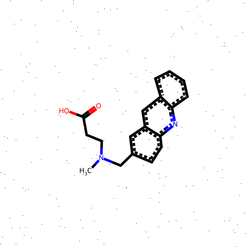 CN(CCC(=O)O)Cc1ccc2nc3ccccc3cc2c1